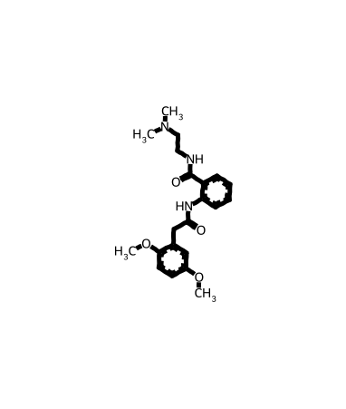 COc1ccc(OC)c(CC(=O)Nc2ccccc2C(=O)NCCN(C)C)c1